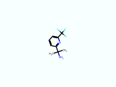 CC(C)(N)c1cccc(C(F)(F)F)n1